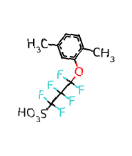 Cc1ccc(C)c(OC(F)(F)C(F)(F)C(F)(F)S(=O)(=O)O)c1